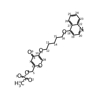 CS(=O)(=O)OCc1cc(=O)c(OCCCCCOc2ccnc3ccccc23)co1